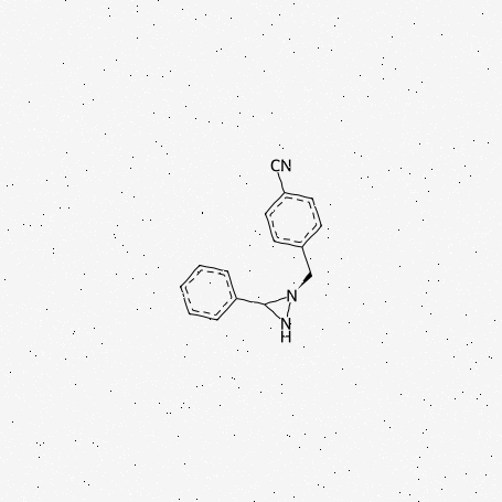 N#Cc1ccc(C[N@@]2NC2c2ccccc2)cc1